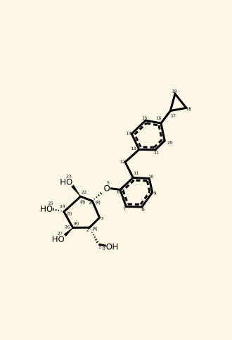 OC[C@H]1C[C@@H](Oc2ccccc2Cc2ccc(C3CC3)cc2)[C@H](O)[C@@H](O)[C@@H]1O